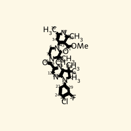 COC(=O)c1c(N2CCN(C(=O)c3cnc4c(n3)C(C)(C)CN4c3ccc(Cl)c(F)c3)C(C)(C)C2)cc(C)nc1C